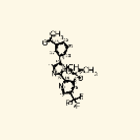 CCS(=O)(=O)c1cc(C(F)(F)F)cnc1-c1ncc(-c2cccc(C(C)=O)c2)n1C